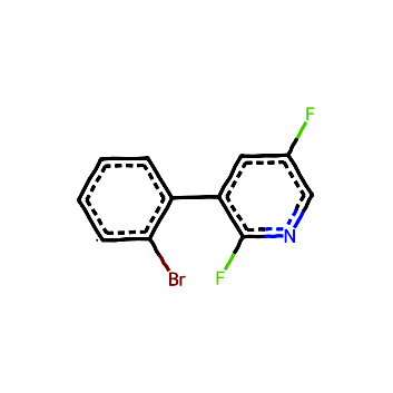 Fc1cnc(F)c(-c2ccc[c]c2Br)c1